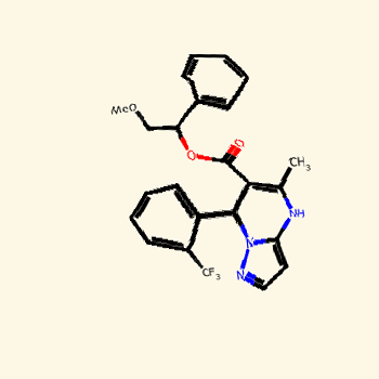 COCC(OC(=O)C1=C(C)Nc2ccnn2C1c1ccccc1C(F)(F)F)c1ccccc1